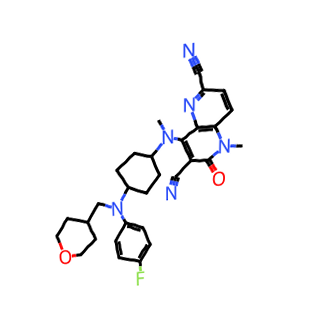 CN(c1c(C#N)c(=O)n(C)c2ccc(C#N)nc12)C1CCC(N(CC2CCOCC2)c2ccc(F)cc2)CC1